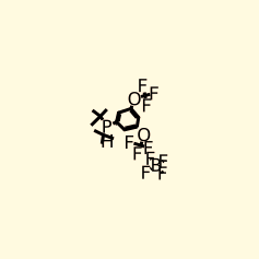 CC(C)(C)[PH+](c1cc(OC(F)(F)F)cc(OC(F)(F)F)c1)C(C)(C)C.F[B-](F)(F)F